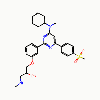 CNCC(O)COc1cccc(-c2nc(-c3ccc(S(C)(=O)=O)cc3)cc(N(C)C3CCCCC3)n2)c1